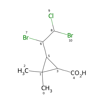 CC1(C)C(C(=O)O)C1C(Br)C(Cl)Br